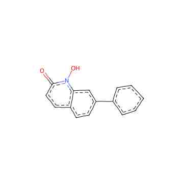 O=c1ccc2ccc(-c3ccccc3)cc2n1O